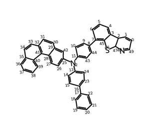 C1=CC2c3cccc(-c4ccc(N(c5ccc(-c6ccccc6)cc5)c5ccc6c(ccc7ccc8ccccc8c76)c5)cc4)c3SC2N=C1